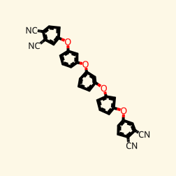 N#Cc1ccc(Oc2cccc(Oc3cccc(Oc4cccc(Oc5ccc(C#N)c(C#N)c5)c4)c3)c2)cc1C#N